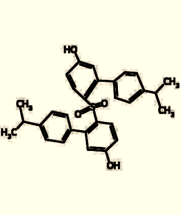 CC(C)c1ccc(-c2cc(O)ccc2S(=O)(=O)c2ccc(O)cc2-c2ccc(C(C)C)cc2)cc1